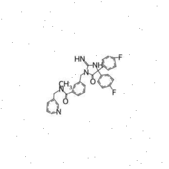 CN(Cc1cccnc1)C(=O)c1cccc(CN2C(=N)NC(c3ccc(F)cc3)(c3ccc(F)cc3)C2=O)c1